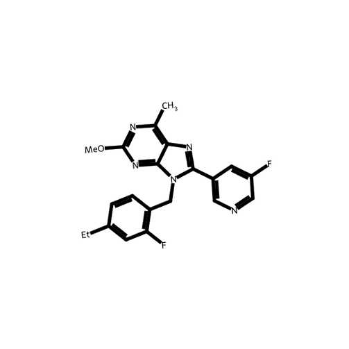 CCc1ccc(Cn2c(-c3cncc(F)c3)nc3c(C)nc(OC)nc32)c(F)c1